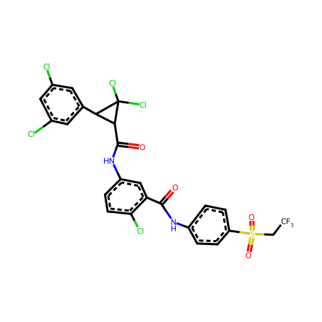 O=C(Nc1ccc(S(=O)(=O)CC(F)(F)F)cc1)c1cc(NC(=O)C2C(c3cc(Cl)cc(Cl)c3)C2(Cl)Cl)ccc1Cl